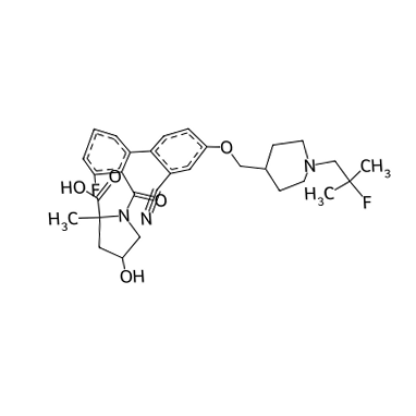 CC(C)(F)CN1CCC(COc2ccc(-c3cccc(F)c3C(=O)N3CC(O)CC3(C)C(=O)O)c(C#N)c2)CC1